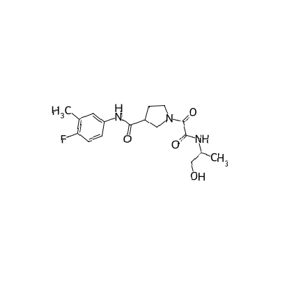 Cc1cc(NC(=O)C2CCN(C(=O)C(=O)NC(C)CO)C2)ccc1F